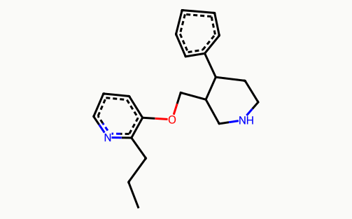 CCCc1ncccc1OCC1CNCCC1c1ccccc1